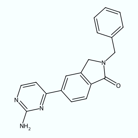 Nc1nccc(-c2ccc3c(c2)CN(Cc2ccccc2)C3=O)n1